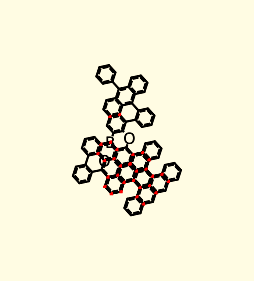 c1ccc(-c2c3ccccc3c(-c3ccccc3-c3cccc4c3Oc3c(-c5ccccc5-c5c6ccccc6c(-c6ccccc6)c6ccccc56)cc(-c5ccccc5-c5c6ccccc6c(-c6ccccc6)c6ccccc56)c5c3B4c3cccc(-c4ccccc4-c4c6ccccc6c(-c6ccccc6)c6ccccc46)c3O5)c3ccccc23)cc1